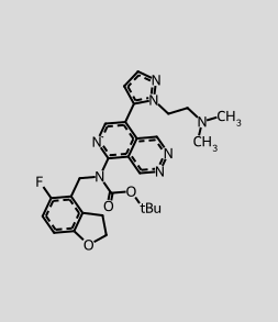 CN(C)CCn1nccc1-c1cnc(N(Cc2c(F)ccc3c2CCO3)C(=O)OC(C)(C)C)c2cnncc12